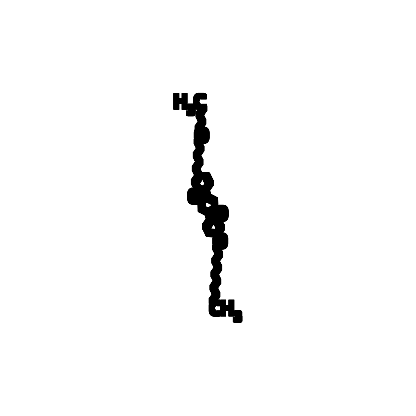 CCCCCCCCCCOc1ccc2c(c1)oc1cc3c(cc12)oc1cc(CCCCCOCCCCC)ccc13